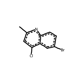 Cc1cc(Cl)c2cc(Br)ccc2n1